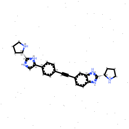 C(#Cc1ccc2nc([C@@H]3CCCN3)[nH]c2c1)c1ccc(-c2cnc([C@@H]3CCCN3)[nH]2)cc1